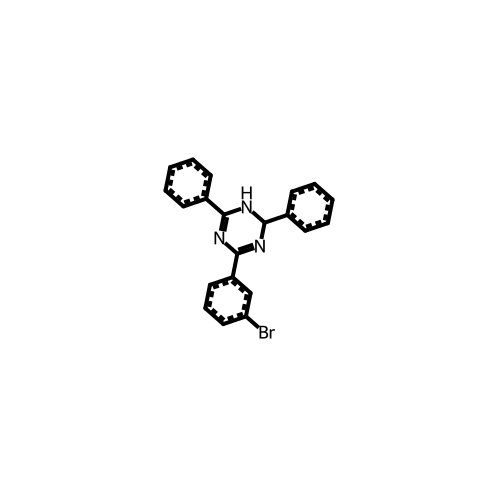 Brc1cccc(C2=NC(c3ccccc3)NC(c3ccccc3)=N2)c1